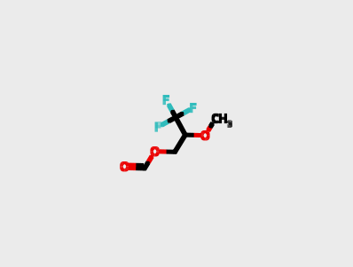 COC(COC=O)C(F)(F)F